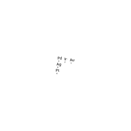 [Ag].[Au].[Ir].[Pd].[Pt]